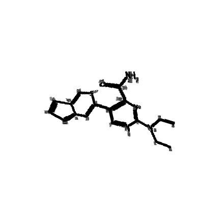 CCN(CC)c1ncc(-c2cc3cccc-3cs2)c(C(N)=O)n1